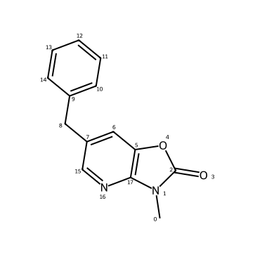 Cn1c(=O)oc2cc(Cc3ccccc3)cnc21